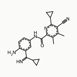 Cc1c(C(=O)Nc2ccc(N)c(C(=N)C3CC3)c2)nc(C2CC2)c(C#N)c1C